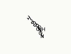 CCC(CCCC1CCC2C3CC=C4CC(OC(=O)NCCOCCN(C)C)CCC4(C)C3CCC12C)C(C)C